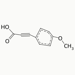 COc1ccc(C#CC(=O)O)cc1